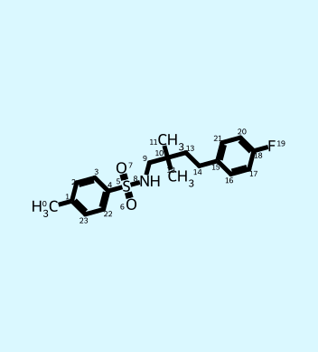 Cc1ccc(S(=O)(=O)NCC(C)(C)CCc2ccc(F)cc2)cc1